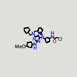 COc1ccc(Nc2nc(N(Cc3ccccc3)Cc3ccccc3)c3ncn(-c4cccc(NC(=O)CCl)c4)c3n2)cc1